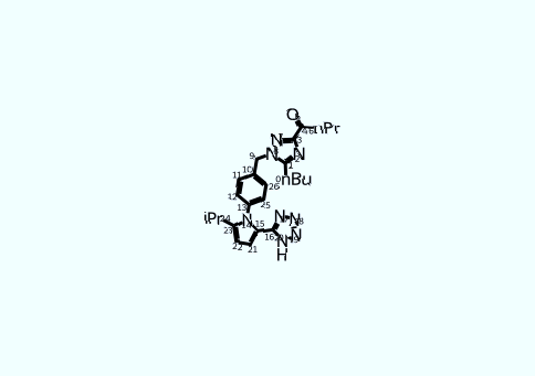 CCCCc1nc(C(=O)CCC)nn1Cc1ccc(-n2c(-c3nnn[nH]3)ccc2C(C)C)cc1